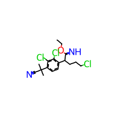 CCOC(=N)C(CCCCl)c1ccc(C(C)(C)C#N)c(Cl)c1Cl